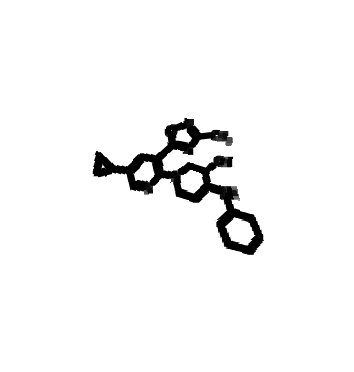 Cc1noc(-c2cc(C3CC3)cnc2N2CCC(NC3CCCCC3)[C@H](O)C2)n1